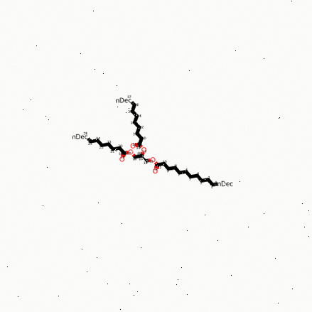 CCCCCCCCCCCCCCCCCCCCC(=O)OC[C@@H](COC(=O)CCCCCCCCCCCCCCCC)OC(=O)CCCCCCCCCCCCCCCCC